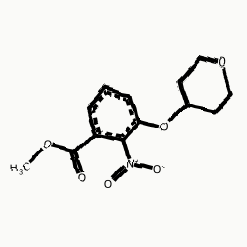 COC(=O)c1cccc(OC2CCOCC2)c1[N+](=O)[O-]